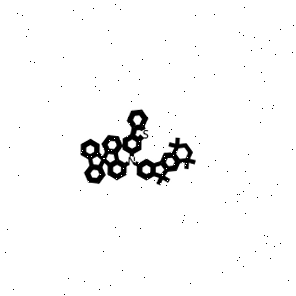 CC1(C)CCC(C)(C)c2cc3c(cc21)-c1cc(N(c2ccc4c(c2)sc2ccccc24)c2cccc4c2-c2ccccc2C42c4ccccc4-c4ccccc42)ccc1C3(C)C